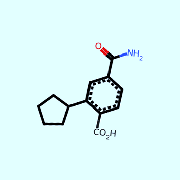 NC(=O)c1ccc(C(=O)O)c(C2CCCC2)c1